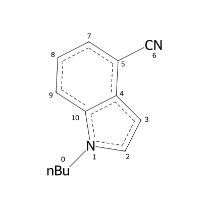 CCCCn1ccc2c(C#N)cccc21